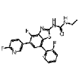 CCNC(=O)Nc1nc2c(F)c(-c3ccc(F)nc3)cc(-c3ncccc3F)c2s1